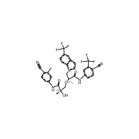 Cc1cc(NC(=O)[C@@](C)(O)CO[C@@](C)(Cn2ccc3cc(C(F)(F)F)ccc32)C(=O)Nc2ccc(C#N)c(C(F)(F)F)c2)ccc1C#N